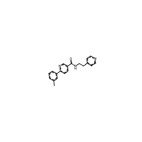 Cc1cccc(-c2ccc(C(=O)NCCc3ccncc3)cn2)c1